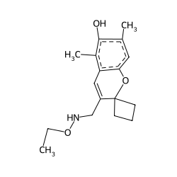 CCONCC1=Cc2c(cc(C)c(O)c2C)OC12CCC2